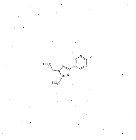 CCOC(=O)c1cc(-c2cnc(C)nc2)nn1CC(=O)O